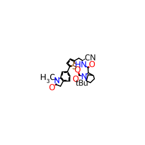 CN1C(=O)Cc2ccc(-c3ccc(C[C@@H](C#N)NC(=O)C4C5CCC(C5)N4C(=O)OC(C)(C)C)s3)cc21